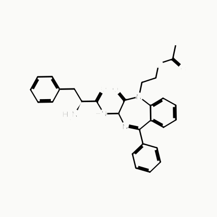 CC(=O)OCCN1C(=O)C(NC(=O)[C@@H](N)Cc2ccccc2)N=C(c2ccccc2)c2ccccc21